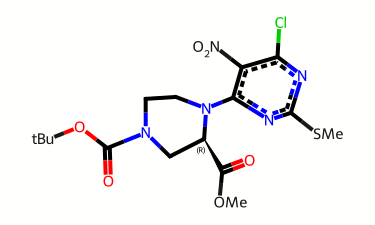 COC(=O)[C@H]1CN(C(=O)OC(C)(C)C)CCN1c1nc(SC)nc(Cl)c1[N+](=O)[O-]